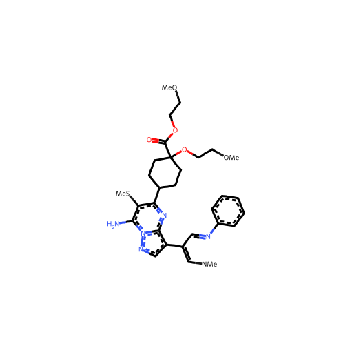 CN/C=C(\C=N\c1ccccc1)c1cnn2c(N)c(SC)c(C3CCC(OCCOC)(C(=O)OCCOC)CC3)nc12